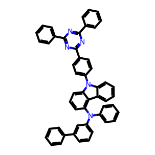 c1ccc(-c2cccc(N(c3ccccc3)c3cccc4c3c3ccccc3n4-c3ccc(-c4nc(-c5ccccc5)nc(-c5ccccc5)n4)cc3)c2)cc1